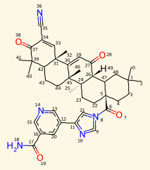 CC1(C)CC[C@]2(C(=O)n3cnc(-c4cncc(C(N)=O)c4)c3)CC[C@]3(C)[C@H](C(=O)C=C4[C@@]5(C)C=C(C#N)C(=O)C(C)(C)C5CC[C@]43C)C2C1